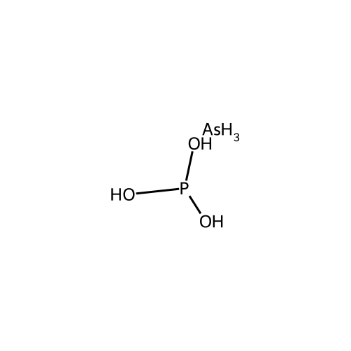 OP(O)O.[AsH3]